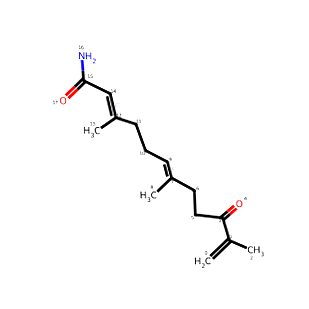 C=C(C)C(=O)CC/C(C)=C/CC/C(C)=C/C(N)=O